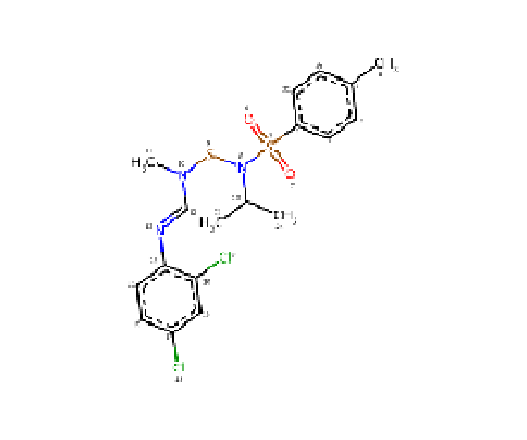 Cc1ccc(S(=O)(=O)N(SN(C)C=Nc2ccc(Cl)cc2Cl)C(C)C)cc1